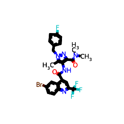 Cc1c(NC(=O)c2cc(C(F)(F)F)nc3ccc(Br)cc23)c(C(=O)N(C)C)nn1Cc1ccc(F)cc1